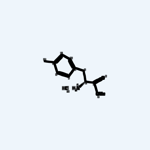 COC(=O)[C@H](N)Cc1ccc(C)cc1.Cl